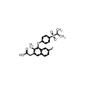 Cc1c(CC(=O)O)cc2ccc(F)cc2c1Oc1ccc(S(=O)(=O)C(C)C)cc1